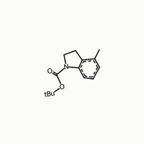 Cc1cccc2c1CCN2C(=O)OC(C)(C)C